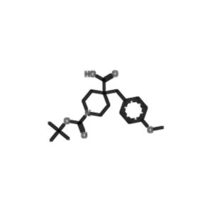 COc1ccc(CC2(C(=O)O)CCN(C(=O)OC(C)(C)C)CC2)cc1